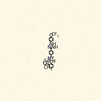 CC1CCS/C(=N\N=C\c2ccc(C(=N)/N=C\Nc3ccc(OC(F)(F)F)cc3)cc2)N1c1ccccc1OC(F)F